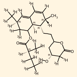 [2H]O[C@@H]1CC(CC[C@@H]2[C@@H]3C(=C([2H])[C@]([2H])(C([2H])([2H])[2H])C([2H])([2H])C3OC(=O)[C@@]([2H])(C([2H])([2H])[2H])C([2H])([2H])C([2H])([2H])[2H])C([2H])=C([2H])[C@]2([2H])C)OC(=O)C1([2H])[2H]